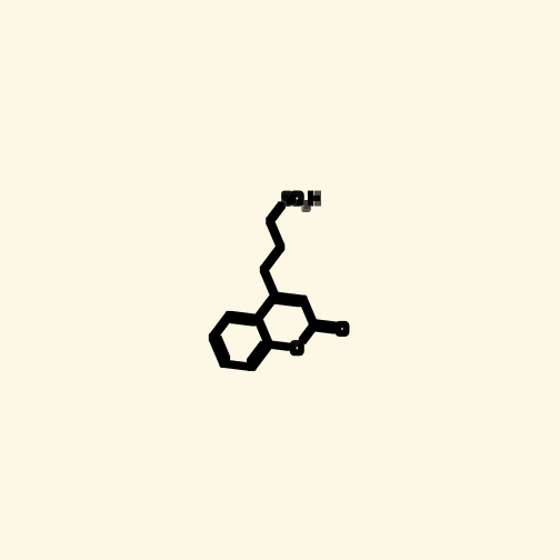 O=c1cc(CCCS(=O)(=O)O)c2ccccc2o1